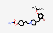 CC(C)Oc1ccc(Br)c(CC2CCN(CCC3CCC(OC(N)=O)CC3)CC2)c1